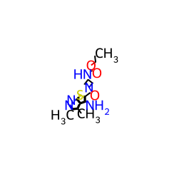 CCCOC(=O)NC1CN(C(=O)c2sc3nnc(C)c(C)c3c2N)C1